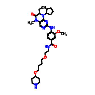 CC[C@@H]1C(=O)N(C)c2cnc(Nc3ccc(C(=O)NCCOCCCCOC4CCNCC4)cc3OC)nc2N1C1CCCC1